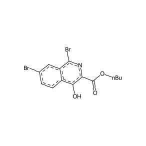 CCCCOC(=O)c1nc(Br)c2cc(Br)ccc2c1O